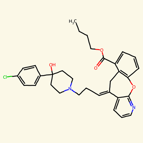 CCCCOC(=O)c1cccc2c1CC(=CCCN1CCC(O)(c3ccc(Cl)cc3)CC1)c1cccnc1O2